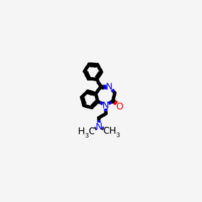 CN(C)CCN1C(=O)CN=C(c2ccccc2)c2ccccc21